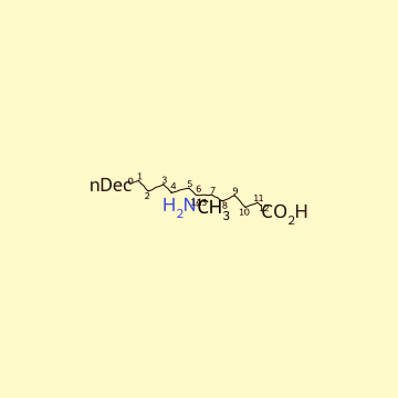 CCCCCCCCCCCCCCCCCCCCCC(=O)O.CN